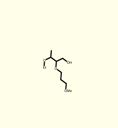 CCOC(C)C(CO)OCCCOC